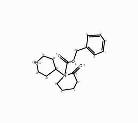 O=C1CCCC[N+]1(C(=O)OCc1ccccc1)C1CCNCC1